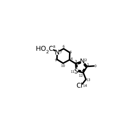 Cc1nc(C2CCN(C(=O)O)CC2)sc1CCl